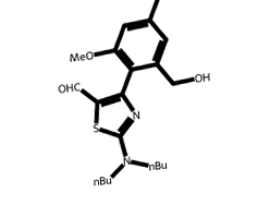 CCCCN(CCCC)c1nc(-c2c(CO)cc(CO)cc2OC)c(C=O)s1